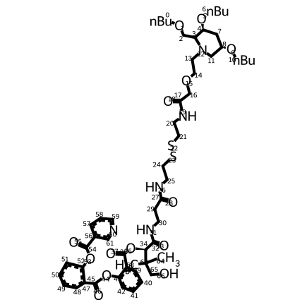 CCCCOCC1[C@@H](OCCCC)C[C@H](OCCCC)CN1CCOCC(=O)NCCSSCCNC(=O)CCNC(=O)[C@H](OC(=O)c1ccccc1OC(=O)c1ccccc1OC(=O)c1cccnc1)C(C)(C)CO